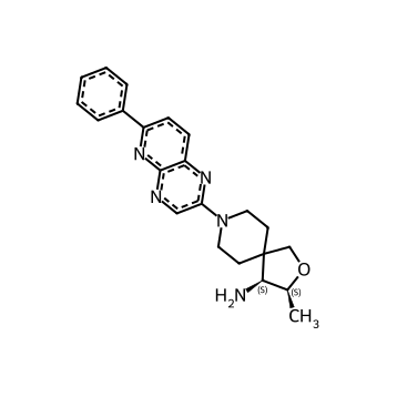 C[C@@H]1OCC2(CCN(c3cnc4nc(-c5ccccc5)ccc4n3)CC2)[C@@H]1N